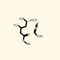 CC(CC(=O)OC(C)(C)C)C[C@H](N)C(=O)O.[N-]=[N+]=CC=O